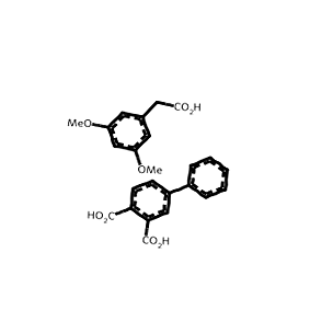 COc1cc(CC(=O)O)cc(OC)c1.O=C(O)c1ccc(-c2ccccc2)cc1C(=O)O